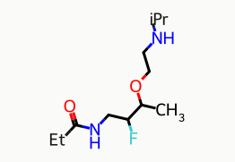 CCC(=O)NCC(F)C(C)OCCNC(C)C